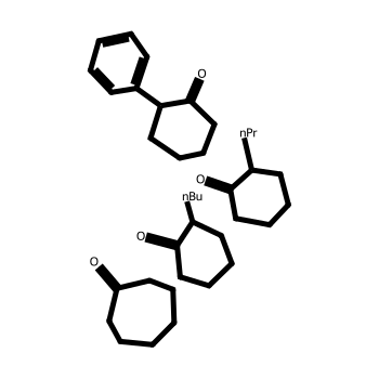 CCCC1CCCCC1=O.CCCCC1CCCCC1=O.O=C1CCCCC1c1ccccc1.O=C1CCCCCC1